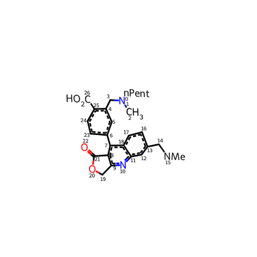 CCCCCN(C)Cc1cc(-c2c3c(nc4cc(CNC)ccc24)COC3=O)ccc1C(=O)O